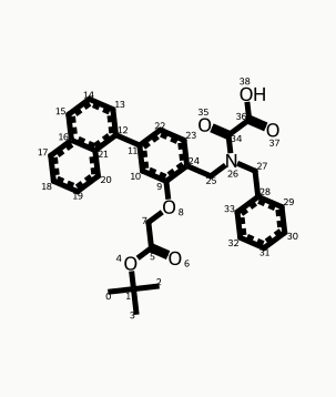 CC(C)(C)OC(=O)COc1cc(-c2cccc3ccccc23)ccc1CN(Cc1ccccc1)C(=O)C(=O)O